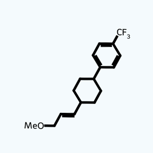 COC/C=C/C1CCC(c2ccc(C(F)(F)F)cc2)CC1